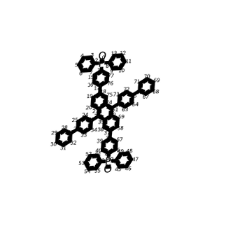 O=P(c1ccccc1)(c1ccccc1)c1ccc(-c2ccc3c(-c4ccc(-c5ccccc5)cc4)c4cc(-c5ccc(P(=O)(c6ccccc6)c6ccccc6)cc5)ccc4c(-c4ccc(-c5ccccc5)cc4)c3c2)cc1